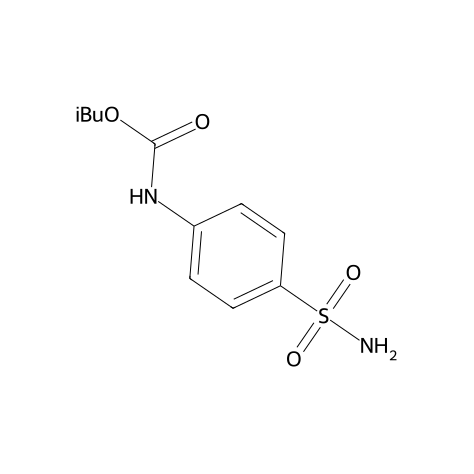 CC(C)COC(=O)Nc1ccc(S(N)(=O)=O)cc1